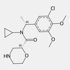 COc1cc([C@@H](C)N(C(=O)[C@H]2CNCCO2)C2CC2)cc(Cl)c1OC